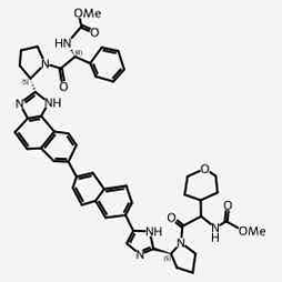 COC(=O)NC(C(=O)N1CCC[C@H]1c1ncc(-c2ccc3cc(-c4ccc5c(ccc6nc([C@@H]7CCCN7C(=O)[C@H](NC(=O)OC)c7ccccc7)[nH]c65)c4)ccc3c2)[nH]1)C1CCOCC1